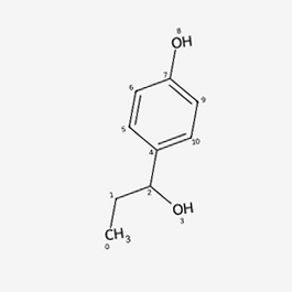 CCC(O)c1ccc(O)cc1